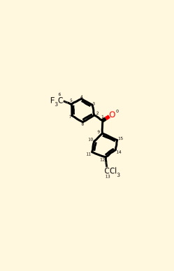 O=C(c1ccc(C(F)(F)F)cc1)c1ccc(C(Cl)(Cl)Cl)cc1